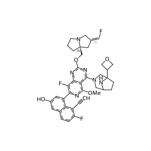 C#Cc1c(F)ccc2cc(O)cc(-c3nc(OC)c4c(N5CC6CCC(C7COC7)(C5)N6)nc(OC[C@@]56CCCN5C/C(=C\F)C6)nc4c3F)c12